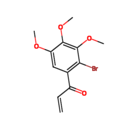 C=CC(=O)c1cc(OC)c(OC)c(OC)c1Br